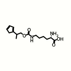 CC(COC(=O)NCCCC[C@H](N)C(=O)O)C1=CC=CC1